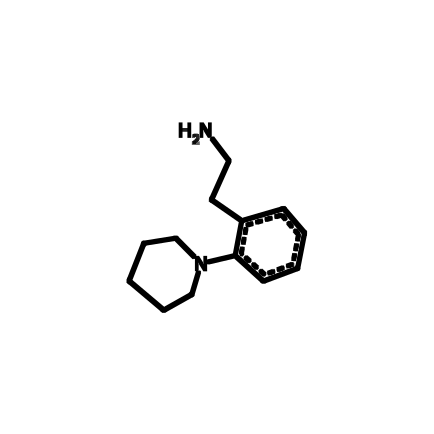 NCCc1ccccc1N1CCCCC1